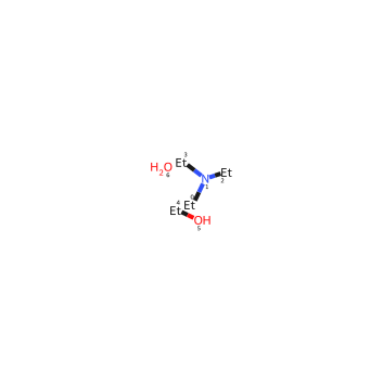 CCN(CC)CC.CCO.O